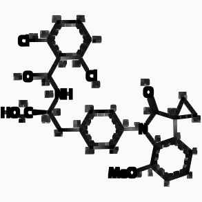 COc1cccc2c1N(c1ccc(C[C@H](NC(=O)c3c(Cl)cccc3Cl)C(=O)O)cc1)C(=O)C21CC1